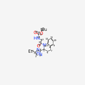 CCc1cnc(C2CCc3ccccc3N2C(=O)CNC(=O)OC(C)(C)C)[nH]1